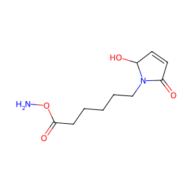 NOC(=O)CCCCCN1C(=O)C=CC1O